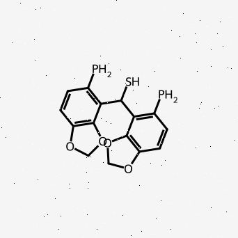 Pc1ccc2c(c1C(S)c1c(P)ccc3c1OCO3)OCO2